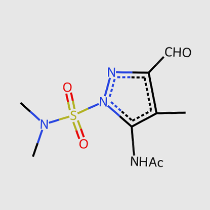 CC(=O)Nc1c(C)c(C=O)nn1S(=O)(=O)N(C)C